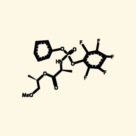 COC[C@H](C)OC(=O)[C@H](C)NP(=O)(Oc1ccccc1)Oc1c(F)c(F)c(F)c(F)c1F